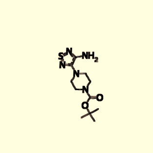 CC(C)(C)OC(=O)N1CCN(c2nsnc2N)CC1